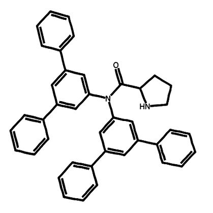 O=C(C1CCCN1)N(c1cc(-c2ccccc2)cc(-c2ccccc2)c1)c1cc(-c2ccccc2)cc(-c2ccccc2)c1